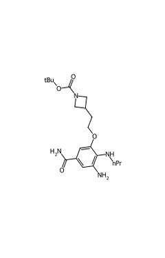 CCCNc1c(N)cc(C(N)=O)cc1OCCC1CN(C(=O)OC(C)(C)C)C1